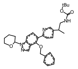 CC(CNC(=O)OC(C)(C)C)c1ccc(-c2ccc3c(cnn3C3CCCCO3)c2OCc2ccccc2)nc1